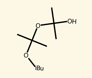 CCC(C)OC(C)(C)OC(C)(C)O